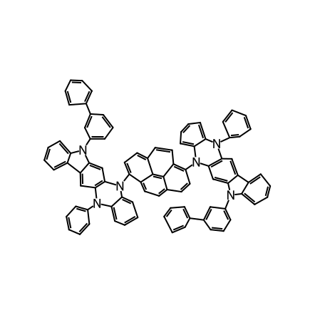 c1ccc(-c2cccc(-n3c4ccccc4c4cc5c(cc43)N(c3ccc4ccc6c(N7c8ccccc8N(c8ccccc8)c8cc9c%10ccccc%10n(-c%10cccc(-c%11ccccc%11)c%10)c9cc87)ccc7ccc3c4c76)c3ccccc3N5c3ccccc3)c2)cc1